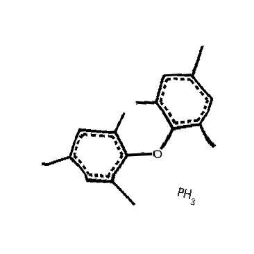 Cc1cc(C)c(Oc2c(C)cc(C)cc2C)c(C)c1.P